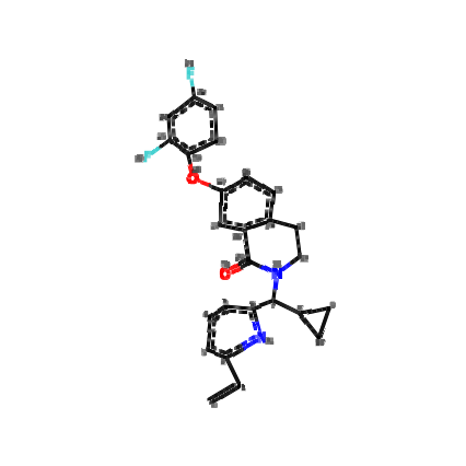 C=Cc1cccc(C(C2CC2)N2CCc3ccc(Oc4ccc(F)cc4F)cc3C2=O)n1